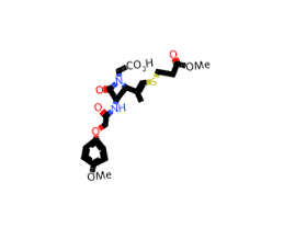 COC(=O)CCSC=C(C)C1C(NC(=O)COc2ccc(OC)cc2)C(=O)N1CC(=O)O